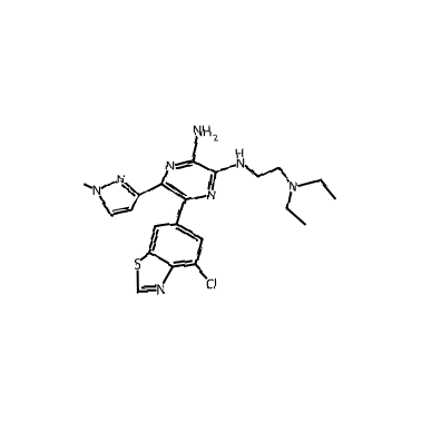 CCN(CC)CCNc1nc(-c2cc(Cl)c3ncsc3c2)c(-c2ccn(C)n2)nc1N